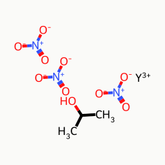 CC(C)O.O=[N+]([O-])[O-].O=[N+]([O-])[O-].O=[N+]([O-])[O-].[Y+3]